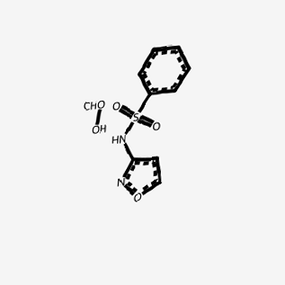 O=CO.O=S(=O)(Nc1ccon1)c1ccccc1